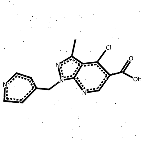 Cc1nn(Cc2ccncc2)c2ncc(C(=O)O)c(Cl)c12